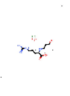 Cl.N=C(N)NCCCC(NCCCO)C(=O)O.O